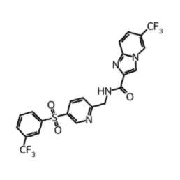 O=C(NCc1ccc(S(=O)(=O)c2cccc(C(F)(F)F)c2)cn1)c1cn2cc(C(F)(F)F)ccc2n1